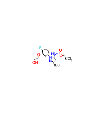 CC(C)(C)c1cc(NC(=O)OCC(Cl)(Cl)Cl)n(-c2ccc(F)c(OCCO)c2)n1